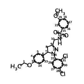 CCOc1ccc(C2CC(CNS(=O)(=O)c3cccc(OC)c3)=NN2c2ccc(Cl)cc2Cl)cc1